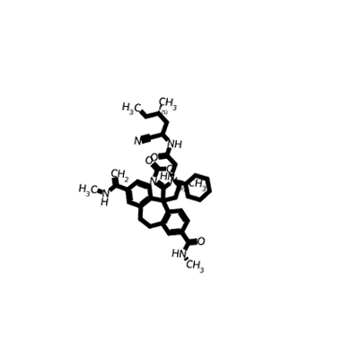 C=C(NC)c1ccc2c(c1)CCc1cc(C(=O)NC)ccc1C2(C[C@@H](C)NCC(=O)NC(C#N)C[C@@H](C)CC)c1nc(=O)on1C1CCCCC1